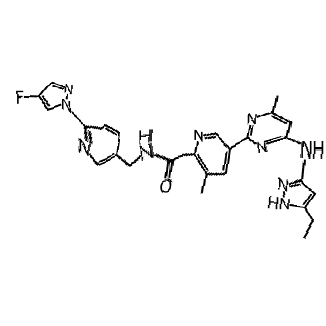 CCc1cc(Nc2cc(C)nc(-c3cnc(C(=O)NCc4ccc(-n5cc(F)cn5)nc4)c(C)c3)n2)n[nH]1